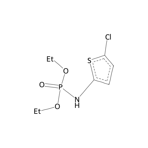 CCOP(=O)(Nc1ccc(Cl)s1)OCC